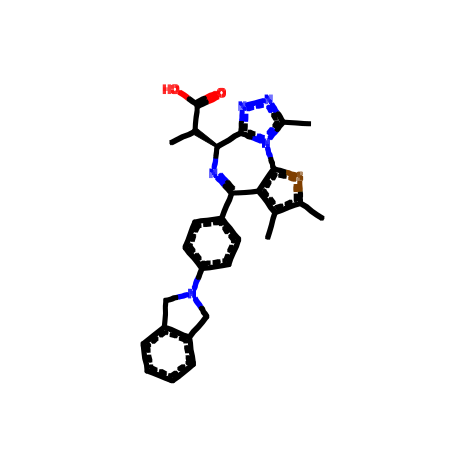 Cc1sc2c(c1C)C(c1ccc(N3Cc4ccccc4C3)cc1)=N[C@@H](C(C)C(=O)O)c1nnc(C)n1-2